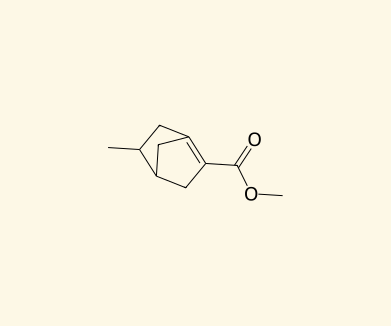 COC(=O)C1=C2CC(C)C(C2)C1